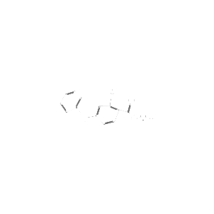 COC(=O)c1ccc(Oc2ccccc2)cc1C(C)=O